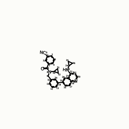 N#Cc1cccc(C(=O)N(Cc2cccc(-c3ccc4ncnc(NC5CC5)c4c3)c2)C2CC2)c1